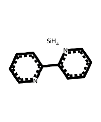 [SiH4].c1ccc(-c2ccccn2)nc1